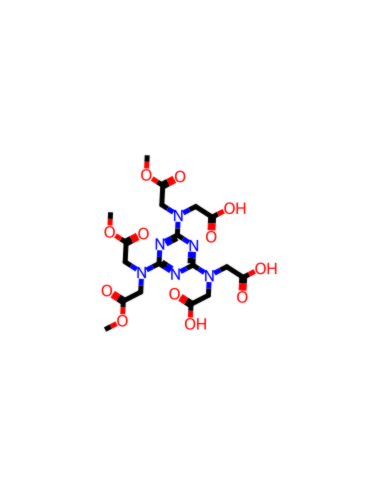 COC(=O)CN(CC(=O)O)c1nc(N(CC(=O)O)CC(=O)O)nc(N(CC(=O)OC)CC(=O)OC)n1